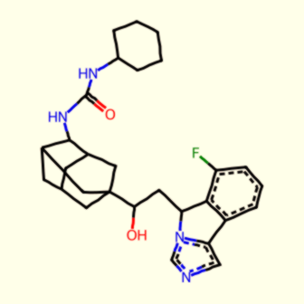 O=C(NC1CCCCC1)NC1C2CC3CC1CC(C(O)CC1c4c(F)cccc4-c4cncn41)(C3)C2